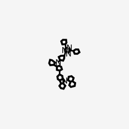 c1ccc(-c2nc(-c3ccccc3)nc(-c3ccc(-n4c5ccccc5c5cc(-c6ccc7c8ccccc8n(-c8cccc9ccccc89)c7c6)ccc54)cc3)n2)cc1